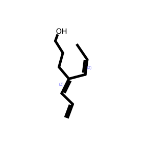 C=C/C=C(\C=C/C)CCCO